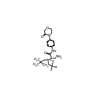 CC(C)(C)CN(CC(F)(F)F)[C@H](CN)C(=O)Nc1ccc(N2CCOCC2=O)cc1